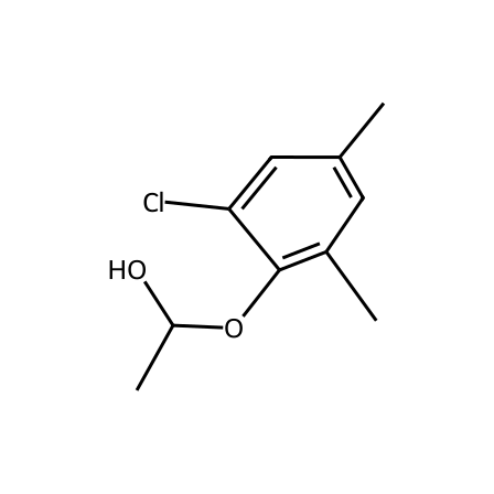 Cc1cc(C)c(OC(C)O)c(Cl)c1